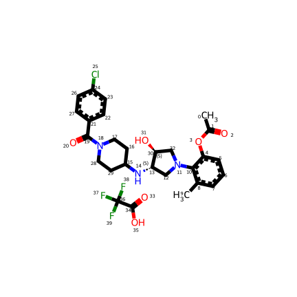 CC(=O)Oc1cccc(C)c1N1C[C@H](NC2CCN(C(=O)c3ccc(Cl)cc3)CC2)[C@@H](O)C1.O=C(O)C(F)(F)F